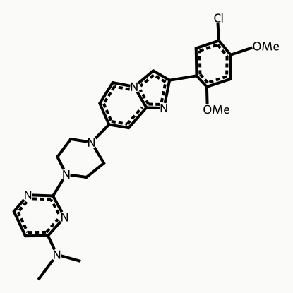 COc1cc(OC)c(-c2cn3ccc(N4CCN(c5nccc(N(C)C)n5)CC4)cc3n2)cc1Cl